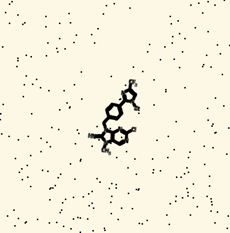 CCn1cc(C(F)(F)F)nc1-c1ccc(Cn2c(=N)n(C)c3cnc(Cl)nc32)cc1